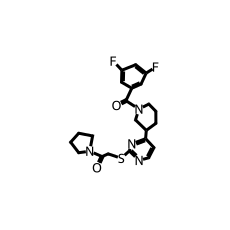 O=C(CSc1nccc(C2CCCN(C(=O)c3cc(F)cc(F)c3)C2)n1)N1CCCC1